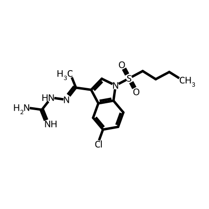 CCCCS(=O)(=O)n1cc(C(C)=NNC(=N)N)c2cc(Cl)ccc21